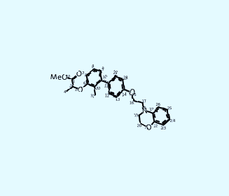 COC(=O)C(C)Oc1cccc(-c2ccc(OCCN3CCOc4ccccc43)cc2)c1C